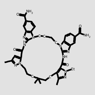 CCn1nc(C)c2c1C(=O)Nc1nc3cc(C(N)=O)ccc3n1CCCCn1c(nc3cc(C(N)=O)ccc31)NC(=O)c1cc(C)nn1CCCC(C)(C)CC2